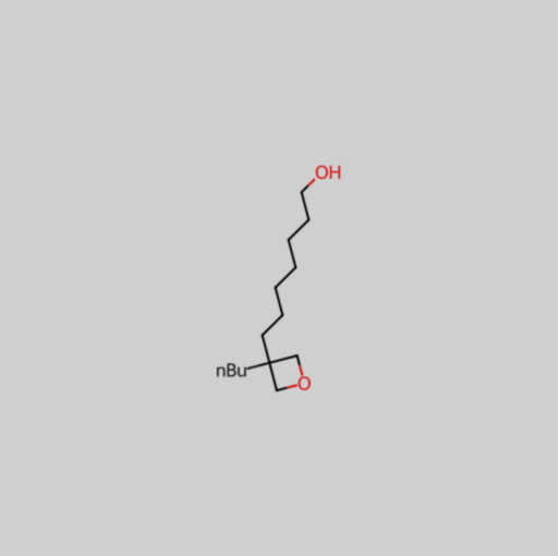 CCCCC1(CCCCCCCO)COC1